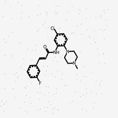 CN1CCN(c2ccc(Cl)cc2NC(=O)/C=C/c2cccc(F)c2)CC1